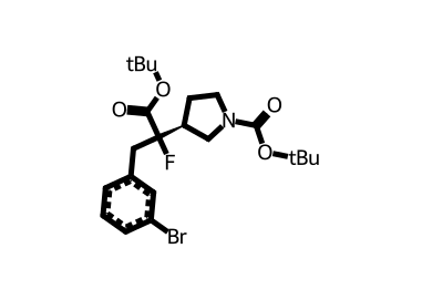 CC(C)(C)OC(=O)N1CC[C@H](C(F)(Cc2cccc(Br)c2)C(=O)OC(C)(C)C)C1